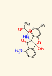 CCC(C)C(=O)C(=O)NC12C(=O)c3c(N)cccc3C1(O)Oc1cc(C(C)C)ccc12